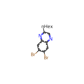 CCCCCCc1cnc2cc(Br)c(Br)cc2n1